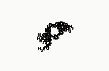 C=CC(=O)N1CCC(F)(C(=O)N(C)C(C(=O)N[C@H]2Cc3cccc(c3)-c3ccc4c(c3)c(c(-c3cccnc3[C@H](C)OC)n4CC)CC(C)(C)COC(=O)[C@@H]3CCCN(N3)C2=O)C(C)C)CC1